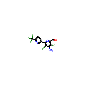 Nc1c(F)c(-c2ccc(C(F)(F)F)nc2)nc(C=O)c1Cl